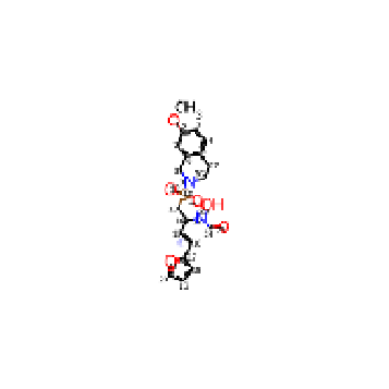 COc1ccc2c(c1)CN(S(=O)(=O)CC(/C=C/c1ccco1)N(O)C=O)CC2